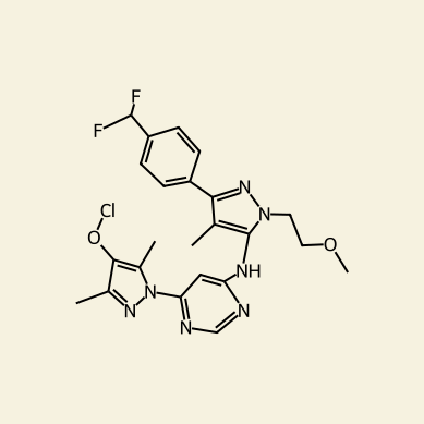 COCCn1nc(-c2ccc(C(F)F)cc2)c(C)c1Nc1cc(-n2nc(C)c(OCl)c2C)ncn1